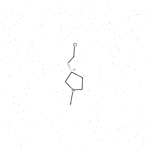 CN1CC[C@@H](CCCl)C1